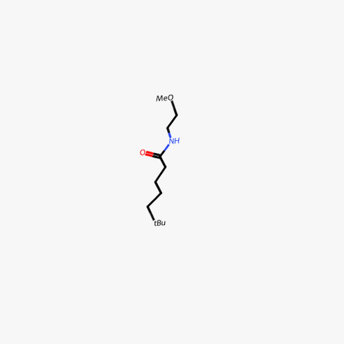 COCCNC(=O)CCCCC(C)(C)C